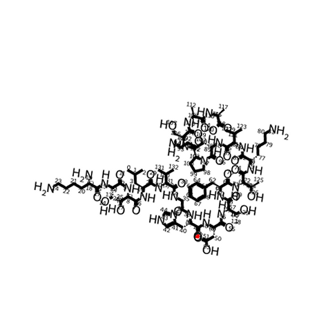 CC(C)C[C@H](NC(=O)[C@@H](NC(=O)[C@H](CO)NC(=O)[C@@H](N)CCCCN)[C@@H](C)O)C(=O)N[C@H](C(=O)NCC(=O)N[C@@H](Cc1c[nH]cn1)C(=O)N[C@@H](CC(=O)O)C(=O)N[C@H](C(=O)N[C@@H](Cc1ccccc1)C(=O)N[C@H](C(=O)N[C@@H](CCCCN)C(=O)N[C@H](C(=O)N[C@@H](CCCCN)C(=O)N1CCC[C@H]1C(=O)N[C@@H](CO)C(=O)N[C@@H](C)C(=O)N[C@@H](C)C(=O)O)C(C)C)[C@@H](C)O)[C@@H](C)O)C(C)C